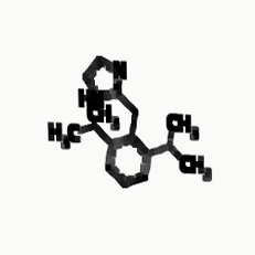 CC(C)c1cccc(C(C)C)c1Cc1ncc[nH]1